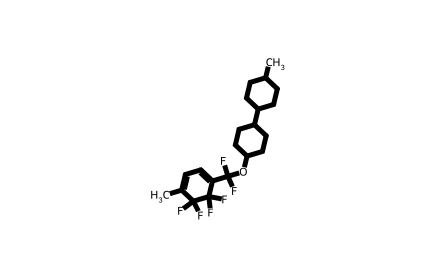 CC1=CC=C(C(F)(F)OC2CCC(C3CCC(C)CC3)CC2)C(F)(F)C1(F)F